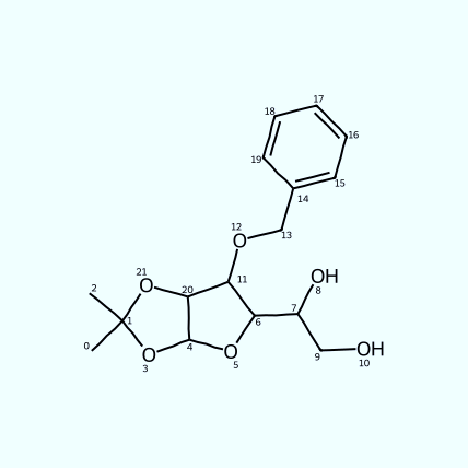 CC1(C)OC2OC(C(O)CO)C(OCc3ccccc3)C2O1